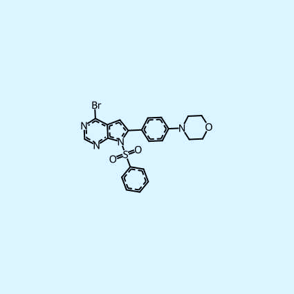 O=S(=O)(c1ccccc1)n1c(-c2ccc(N3CCOCC3)cc2)cc2c(Br)ncnc21